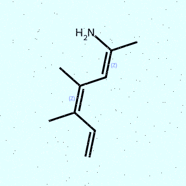 C=C/C(C)=C(C)\C=C(\C)N